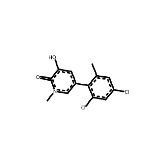 Cc1cc(Cl)cc(Cl)c1-c1cc(O)c(=O)n(C)c1